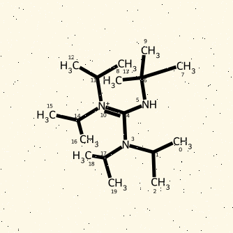 CC(C)N(C(NC(C)(C)C)=[N+](C(C)C)C(C)C)C(C)C